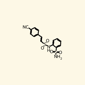 N#Cc1ccc(/C=C/S(=O)(=O)Nc2ccccc2S(N)(=O)=O)cc1